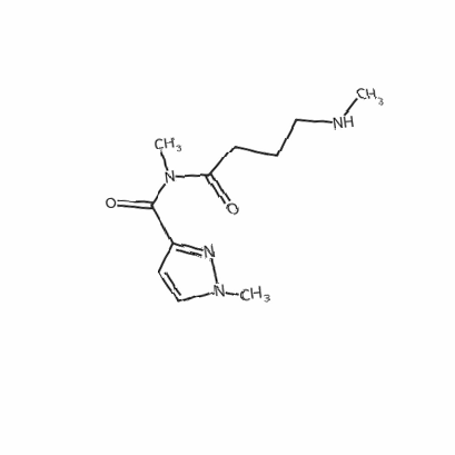 CNCCCC(=O)N(C)C(=O)c1ccn(C)n1